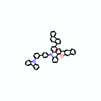 c1cc(-c2ccc(N(c3ccc(-c4cccc5c4ccc4ccccc45)cc3)c3ccccc3-c3cccc4c3oc3cc5ccccc5cc34)cc2)cc(-n2c3ccccc3c3ccccc32)c1